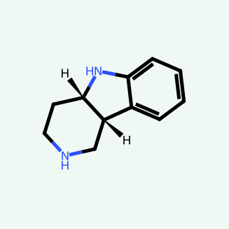 c1ccc2c(c1)N[C@H]1CCNC[C@@H]21